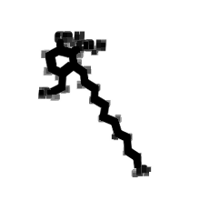 CC(C)CCCCCCCCCCCc1c(CC(C)C)ccc(C(=O)O)c1C(=O)O